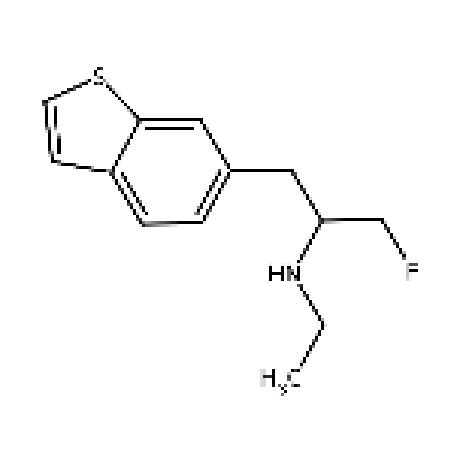 CCNC(CF)Cc1ccc2ccsc2c1